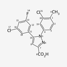 Cc1ccc(-n2nc(C(=O)O)cc2-c2cc(F)cc(Cl)c2)cc1Cl